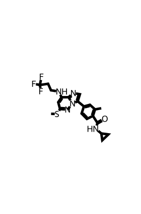 CSc1cc(NCCC(F)(F)F)c2ncc(-c3ccc(C(=O)NC4CC4)c(C)c3)n2n1